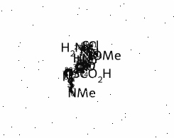 CNCCSCc1ncccc1SC1=C(C(=O)O)N2C(=O)[C@@H](NC(=O)/C(=N\OC)c3nc(N)sc3Cl)[C@H]2CC1